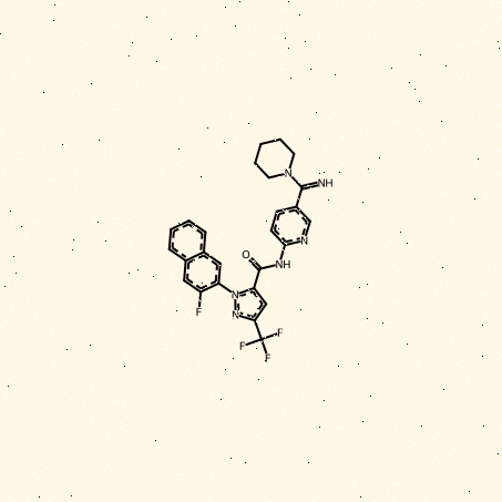 N=C(c1ccc(NC(=O)c2cc(C(F)(F)F)nn2-c2cc3ccccc3cc2F)nc1)N1CCCCC1